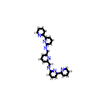 C(=N\c1cccc(-c2ccccn2)n1)/c1cccc(/C=N/c2cccc(-c3ccccn3)n2)n1